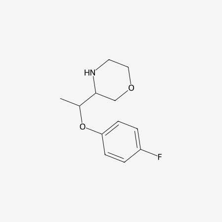 CC(Oc1ccc(F)cc1)C1COCCN1